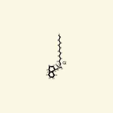 CCCCCCCCCCCC[N+](C)(C)Cc1cccc2ccccc12.[Cl-]